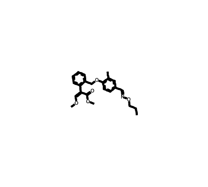 CCCON=Cc1ccc(OCc2ccccc2C(=COC)C(=O)OC)c(C)c1